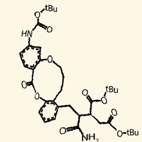 CC(C)(C)OC(=O)C[C@H](C(=O)OC(C)(C)C)C(Cc1cccc2c1CCCOc1cc(NC(=O)OC(C)(C)C)ccc1C(=O)O2)C(N)=O